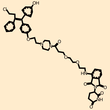 O=C1CCC(N2C(=O)c3cccc(NCCOCCOCCC(=O)N4CCN(CCOc5ccc(C(=C(CCCl)c6ccccc6)c6ccc(O)cc6)cc5)CC4)c3C2=O)C(=O)N1